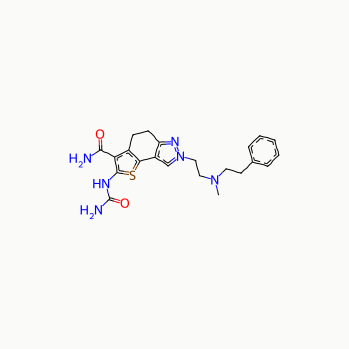 CN(CCc1ccccc1)CCn1cc2c(n1)CCc1c-2sc(NC(N)=O)c1C(N)=O